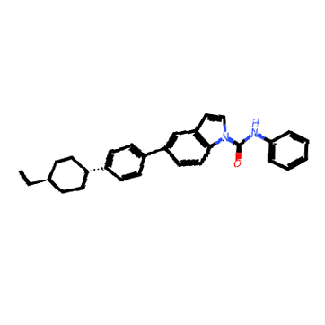 CC[C@H]1CC[C@H](c2ccc(-c3ccc4c(ccn4C(=O)Nc4ccccc4)c3)cc2)CC1